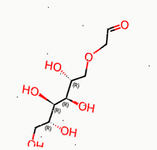 O=CCOC[C@@H](O)[C@@H](O)[C@H](O)[C@H](O)CO